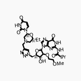 CC[C@@H]1CN(Cc2cn(C[C@H]3O[C@@H](n4cnc5c(=O)[nH]c(NC(=O)C(C)C)nc54)C(OCCOC)[C@H]3O)nn2)C[C@H](n2ccc(=O)[nH]c2=O)O1